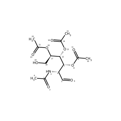 CC(=O)N[C@@H](C=O)[C@@H](OC(C)=O)[C@@H](OC(C)=O)[C@@H](CO)OC(C)=O